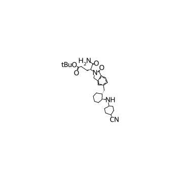 CC(C)(C)OC(=O)CC[C@@H](C(N)=O)N1Cc2cc(C[C@H]3CCCC[C@@H]3NC3CCC(C#N)CC3)ccc2C1=O